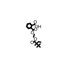 CCC(C)(C(=O)OCCOC(=O)c1ccccc1C(=O)O)C(C)(C)C